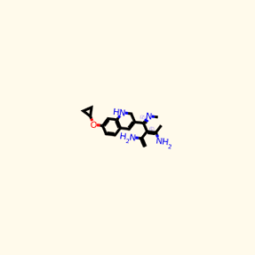 C=C(N)C(/C(=N\C)C1=Cc2ccc(OC3CC3)cc2NC1)=C(/C)N